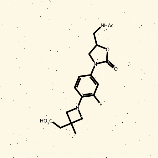 CC(=O)NCC1CN(c2ccc(N3CC(C)(CC(=O)O)C3)c(F)c2)C(=O)O1